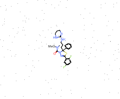 CON(C)C(=O)N1N=C(c2cc(F)ccc2F)SC1(CCCNC1=NCCCN1)c1ccccc1